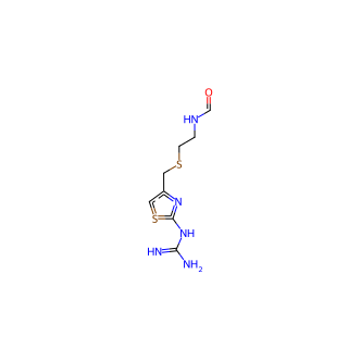 N=C(N)Nc1nc(CSCCNC=O)cs1